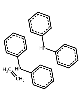 C=C.c1ccc(Pc2ccccc2)cc1.c1ccc(Pc2ccccc2)cc1